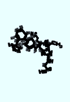 CCCc1nc(C)n2nc(NCC(=O)O)nc2c1Cc1ccc(-c2ccccc2-c2nnn[nH]2)cc1